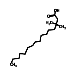 CCCCCCCCCCCCCC(C)(C)CC(=O)O